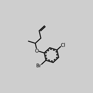 C=CCC(C)Oc1cc(Cl)ccc1Br